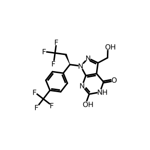 O=c1[nH]c(O)nc2c1c(CO)nn2[C@H](CC(F)(F)F)c1ccc(C(F)(F)F)cc1